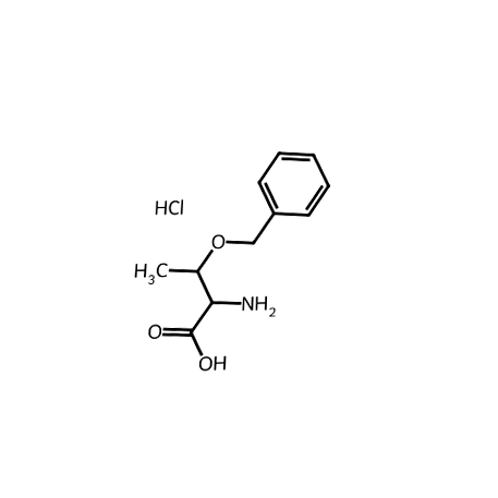 CC(OCc1ccccc1)C(N)C(=O)O.Cl